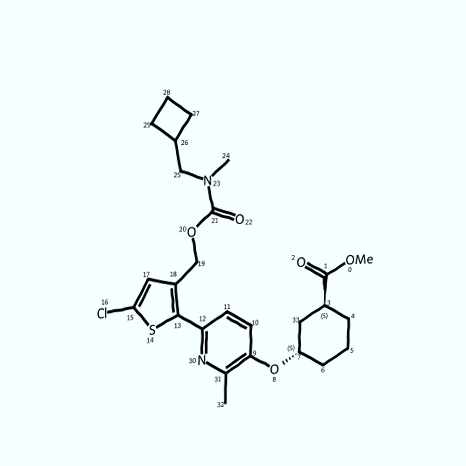 COC(=O)[C@H]1CCC[C@H](Oc2ccc(-c3sc(Cl)cc3COC(=O)N(C)CC3CCC3)nc2C)C1